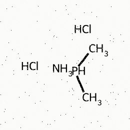 CPC.Cl.Cl.N